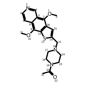 COc1c2cnccc2c(OC)c2sc(CN3CCN(C(C)=O)CC3)cc12